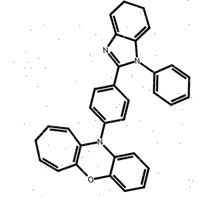 C1=CC2=C(C=CC1)N(c1ccc(-c3nc4c(n3-c3ccccc3)=CCCC=4)cc1)c1ccccc1O2